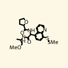 COCC(C)NC(=O)C(NC(=O)C1CCCO1)c1ccc(SSC)c2ncccc12